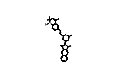 CCN1c2ccc(/C=C/C3=CC(=C4C(=O)c5cc6ccccc6cc5C4=O)C=C(C)O3)cc2C(C)=CC1(C)C